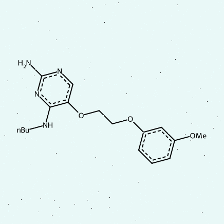 CCCCNc1nc(N)ncc1OCCOc1cccc(OC)c1